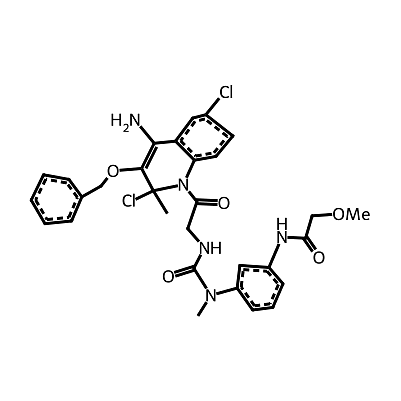 COCC(=O)Nc1cccc(N(C)C(=O)NCC(=O)N2c3ccc(Cl)cc3C(N)=C(OCc3ccccc3)C2(C)Cl)c1